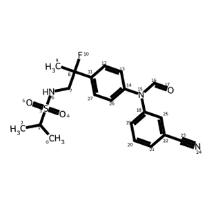 CC(C)S(=O)(=O)NCC(C)(F)c1ccc(N(C=O)c2cccc(C#N)c2)cc1